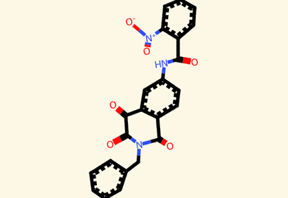 O=C1C(=O)N(Cc2ccccc2)C(=O)c2ccc(NC(=O)c3ccccc3[N+](=O)[O-])cc21